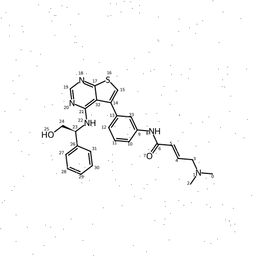 CN(C)C/C=C/C(=O)Nc1cccc(-c2csc3ncnc(N[C@H](CO)c4ccccc4)c23)c1